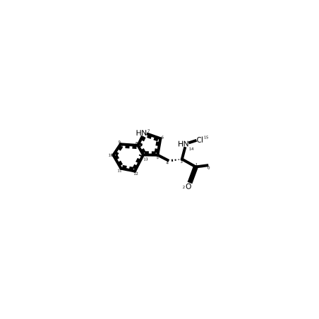 CC(=O)[C@H](Cc1c[nH]c2ccccc12)NCl